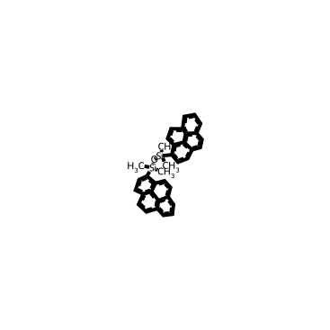 C[Si](C)(O[Si](C)(C)c1ccc2ccc3cccc4ccc1c2c34)c1ccc2ccc3cccc4ccc1c2c34